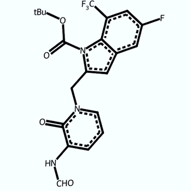 CC(C)(C)OC(=O)n1c(Cn2cccc(NC=O)c2=O)cc2cc(F)cc(C(F)(F)F)c21